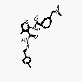 Cc1ccc(/C=N/NC(=O)c2c(C)csc2NC(=O)c2cccc(CN(C)C)c2)cc1